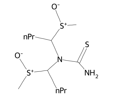 CCCC(N(C(N)=S)C(CCC)[S+](C)[O-])[S+](C)[O-]